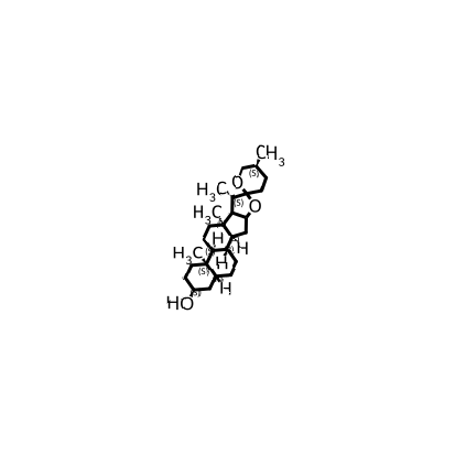 C[C@H]1CCC2(OC1)OC1C[C@H]3[C@@H]4CC[C@@H]5C[C@@H](O)CC[C@]5(C)[C@H]4CC[C@@]3(C)C1[C@@H]2C